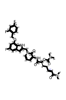 CN(C)C(=O)/C=C/CC[C@H](OC(=O)N(C)C)C(=O)Nc1cccn(Cc2cc3cc(F)cc(OCc4ccc(F)cc4F)c3[nH]2)c1=O